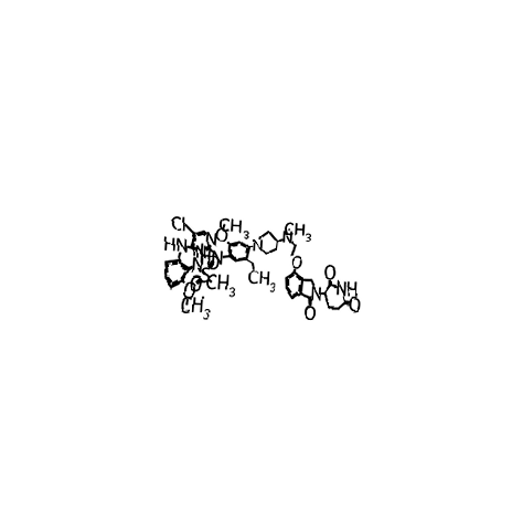 CCc1cc(Nc2ncc(Cl)c(Nc3cccc(OC)c3NS(C)(=O)=O)n2)c(OC)cc1N1CCC(N(C)CCOc2cccc3c2CN(C2CCC(=O)NC2=O)C3=O)CC1